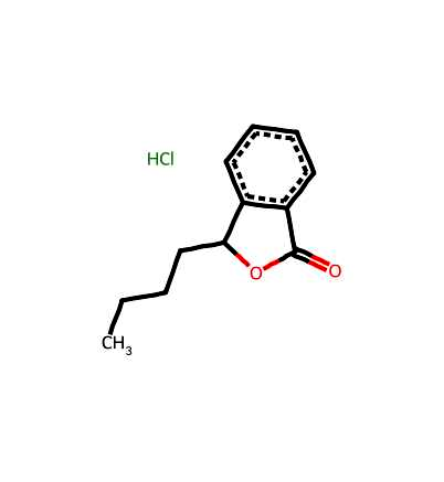 CCCCC1OC(=O)c2ccccc21.Cl